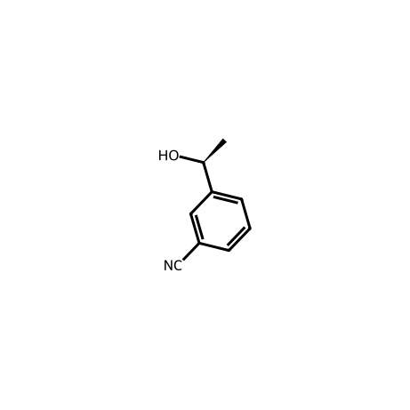 C[C@H](O)c1cccc(C#N)c1